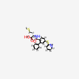 CSCC[C@H](NC(=O)c1ccc(Sc2ccccn2)cc1-c1ccccc1)C(=O)O